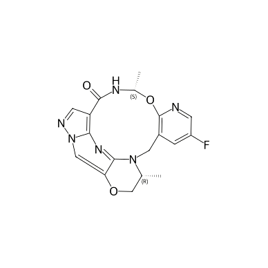 C[C@@H]1COc2cn3ncc4c3nc2N1Cc1cc(F)cnc1O[C@@H](C)NC4=O